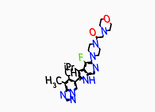 Cc1c(-c2[nH]c3cnc(N4CCN(C(=O)CN5CCOCC5)CC4)c(F)c3c2C(C)C)cn2ncnc2c1C